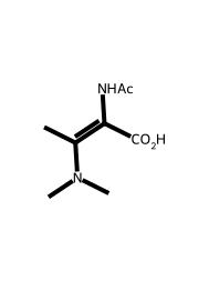 CC(=O)N/C(C(=O)O)=C(\C)N(C)C